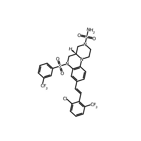 NS(=O)(=O)N1CCN2c3ccc(/C=C/c4c(Cl)cccc4C(F)(F)F)cc3N(S(=O)(=O)c3cccc(C(F)(F)F)c3)C[C@@H]2C1